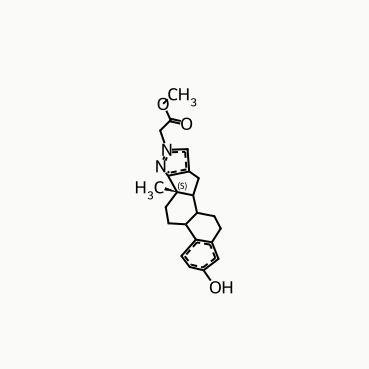 COC(=O)Cn1cc2c(n1)[C@@]1(C)CCC3c4ccc(O)cc4CCC3C1C2